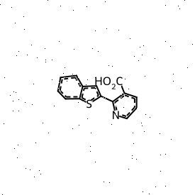 O=C(O)c1cccnc1-c1cc2ccccc2s1